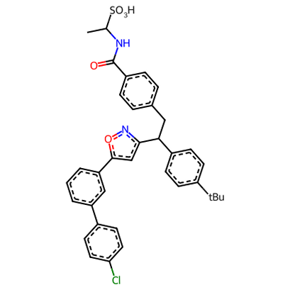 CC(NC(=O)c1ccc(CC(c2ccc(C(C)(C)C)cc2)c2cc(-c3cccc(-c4ccc(Cl)cc4)c3)on2)cc1)S(=O)(=O)O